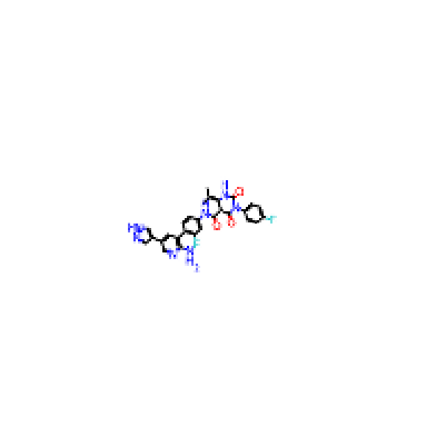 CC(C)=C1NC(=O)N(c2ccc(F)cc2)C(=O)C1C(=O)Nc1ccc(-c2cc(-c3cn[nH]c3)cnc2N)c(F)c1